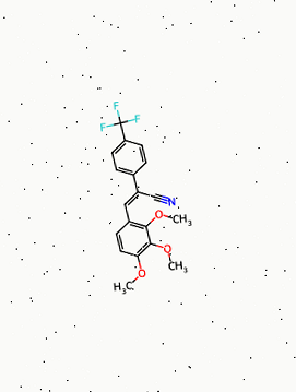 COc1ccc(C=C(C#N)c2ccc(C(F)(F)F)cc2)c(OC)c1OC